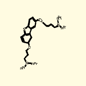 CCCN(CCC)CCCOc1ccc2sc3ccc(OCCCN(CCC)CCC)cc3c2c1